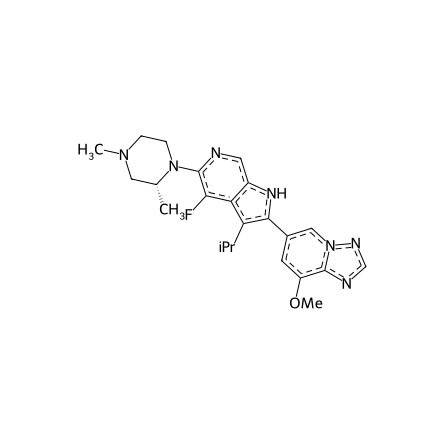 COc1cc(-c2[nH]c3cnc(N4CCN(C)C[C@H]4C)c(F)c3c2C(C)C)cn2ncnc12